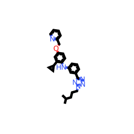 CC(C)CCCn1nnc(-c2cccc(Nc3ccc(OCc4ccccn4)cc3C3CC3)c2)n1